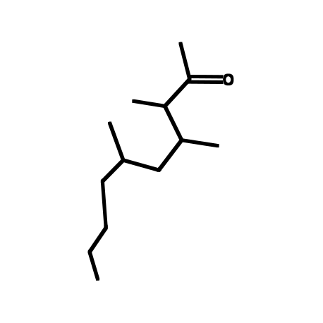 CCCCC(C)CC(C)C(C)C(C)=O